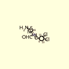 Nc1nc(/C([C]=O)=N/Oc2ccc(Cl)c(Cl)c2)cs1